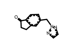 O=C1CCc2cc(Cn3nccn3)ccc21